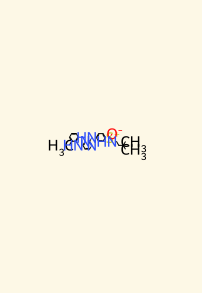 Cc1ccccc1Nc1ccnc(Nc2ccc([S+]([O-])NCCC(C)C)cc2)n1